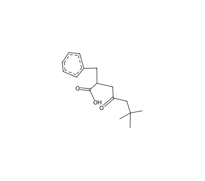 CC(C)(C)CC(=O)CC(Cc1ccccc1)C(=O)O